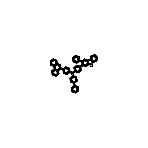 c1ccc(-c2ccc(N(c3ccc(-c4cc5sc6ccccc6c5cc4-c4ccccc4)cc3)c3ccc(-c4cc5ccccc5c5ccccc45)cc3)cc2)cc1